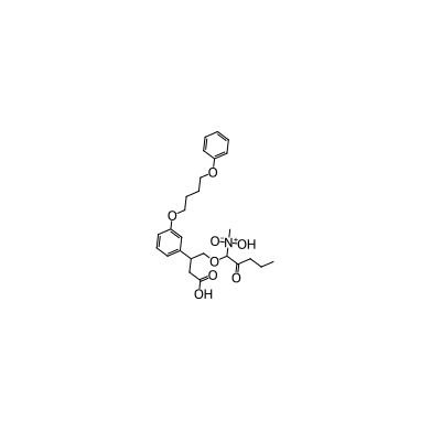 CCCC(=O)C(OCC(CC(=O)O)c1cccc(OCCCCOc2ccccc2)c1)[N+](C)([O-])O